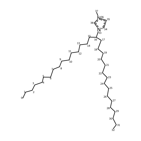 CCCCCCCCCCCCCCCCC(CCCCCCCCCCCCCCCC)[n+]1ccn(C)c1